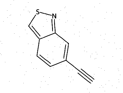 C#Cc1ccc2csnc2c1